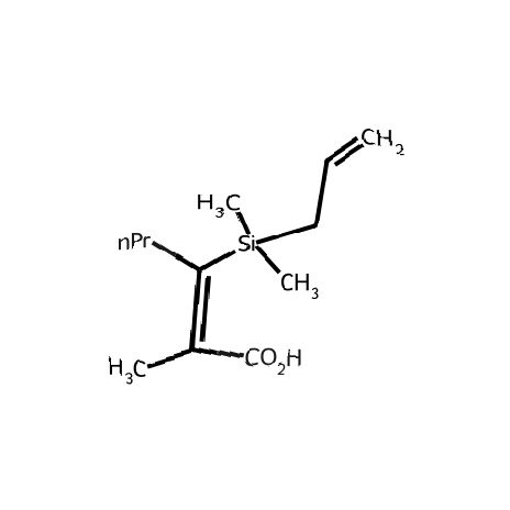 C=CC[Si](C)(C)C(CCC)=C(C)C(=O)O